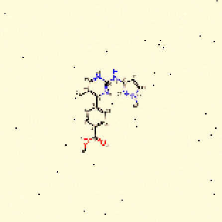 COC(=O)c1ccc(-c2nc(Nc3ccn(C)n3)ncc2C)cc1